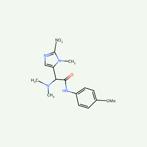 COc1ccc(NC(=O)C(c2cnc([N+](=O)[O-])n2C)N(C)C)cc1